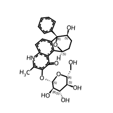 Cc1[nH]c2ccc3c(c2c(=O)c1O[C@@H]1O[C@H](CO)[C@@H](O)[C@H](O)[C@H]1O)[C@@H]1CC[C@H](O)[C@]3(c2ccccc2)O1